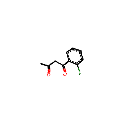 CC(=O)CC(=O)c1ccccc1F